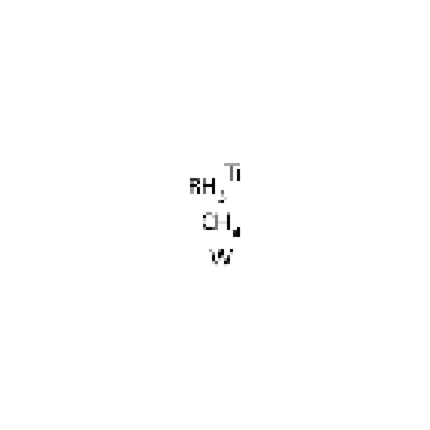 B.C.[Ti].[W]